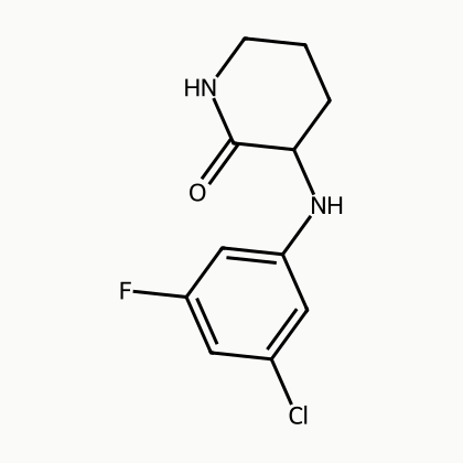 O=C1NCCCC1Nc1cc(F)cc(Cl)c1